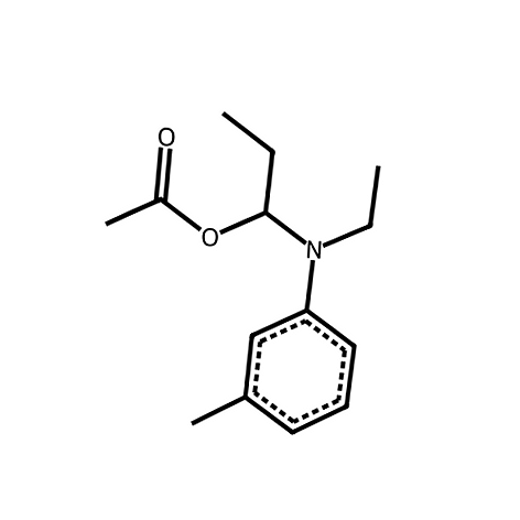 CCC(OC(C)=O)N(CC)c1cccc(C)c1